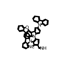 N#Cc1c(C=N)ccc(-n2c3ccc(-n4c5ccccc5c5ccccc54)cc3c3c4oc5ccccc5c4ccc32)c1-n1c2ccccc2c2ccccc21